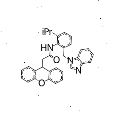 CC(C)c1cccc(Cn2cnc3ccccc32)c1NC(=O)CC1c2ccccc2Oc2ccccc21